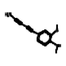 CNc1ccc(C#CC#CN)cc1SC